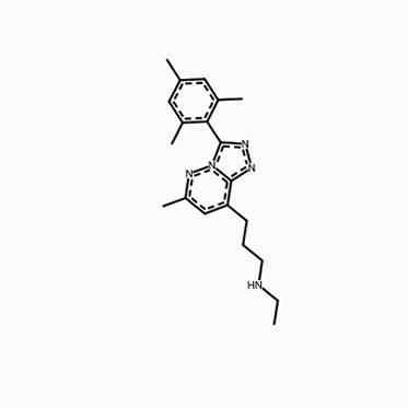 CCNCCCc1cc(C)nn2c(-c3c(C)cc(C)cc3C)nnc12